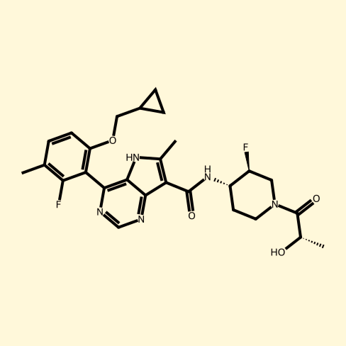 Cc1ccc(OCC2CC2)c(-c2ncnc3c(C(=O)N[C@H]4CCN(C(=O)[C@H](C)O)C[C@@H]4F)c(C)[nH]c23)c1F